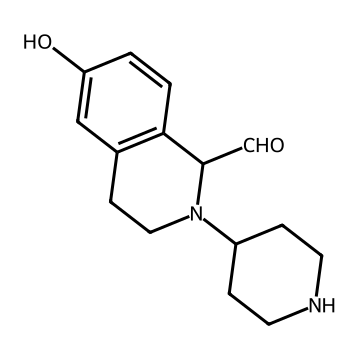 O=CC1c2ccc(O)cc2CCN1C1CCNCC1